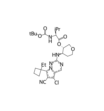 CCC1(c2c(C#N)c(Cl)c3cnc(N[C@@H]4CCOC[C@H]4OC(=O)[C@@H](NC(=O)OC(C)(C)C)C(C)C)nn23)CCC1